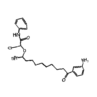 CCCC(CCCCCCCCC(=O)c1cccc(N)c1)OC(Cl)C(=O)Nc1ccccc1